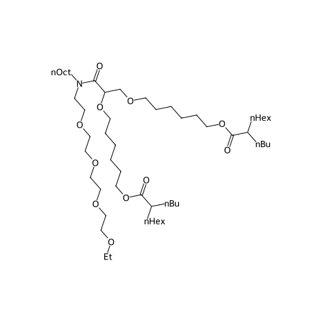 CCCCCCCCN(CCOCCOCCOCCOCC)C(=O)C(COCCCCCCOC(=O)C(CCCC)CCCCCC)OCCCCCCOC(=O)C(CCCC)CCCCCC